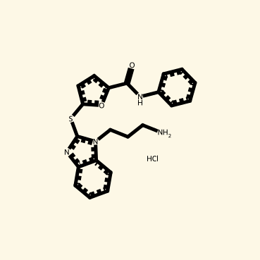 Cl.NCCCn1c(Sc2ccc(C(=O)Nc3ccccc3)o2)nc2ccccc21